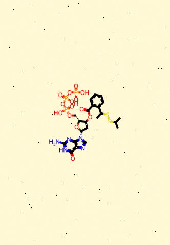 CC(C)SSC(C)c1ccccc1C(=O)OC1C[C@H](n2cnc3c(=O)[nH]c(N)nc32)O[C@@H]1COP(=O)(O)OP(=O)(O)OP(=O)(O)O